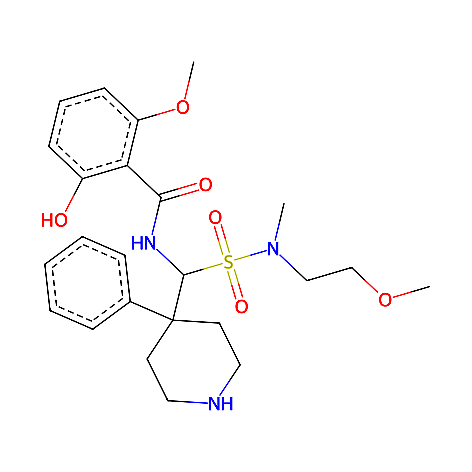 COCCN(C)S(=O)(=O)C(NC(=O)c1c(O)cccc1OC)C1(c2ccccc2)CCNCC1